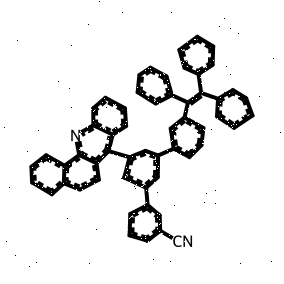 N#Cc1cccc(-c2cc(-c3cccc(C(=C(c4ccccc4)c4ccccc4)c4ccccc4)c3)cc(-c3c4ccccc4nc4c3ccc3ccccc34)c2)c1